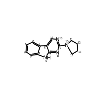 c1ccc2c(c1)[nH]c1nc(N3CCCC3)ncc12